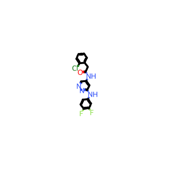 O=C(Cc1ccccc1Cl)Nc1cnnc(Nc2ccc(F)c(F)c2)c1